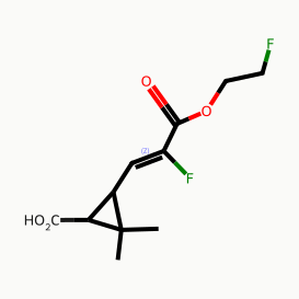 CC1(C)C(/C=C(\F)C(=O)OCCF)C1C(=O)O